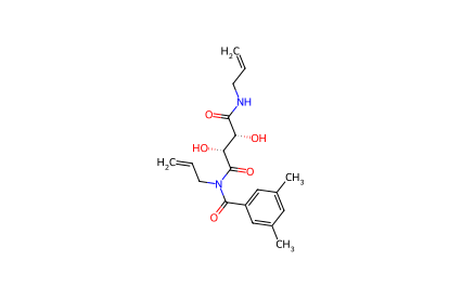 C=CCNC(=O)[C@H](O)[C@@H](O)C(=O)N(CC=C)C(=O)c1cc(C)cc(C)c1